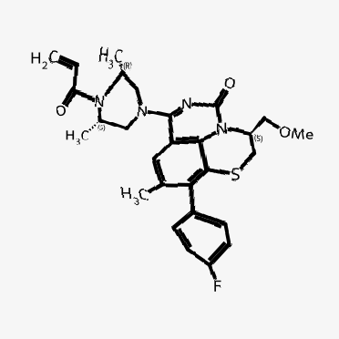 C=CC(=O)N1[C@H](C)CN(c2nc(=O)n3c4c(c(-c5ccc(F)cc5)c(C)cc24)SC[C@@H]3COC)C[C@@H]1C